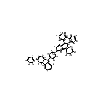 c1ccc(-c2ccc3c(c2)c2ccccc2n3-c2ccc(-c3ccc4c(c3)c3ccccc3c3c5ccccc5c5ccccc5c43)cc2)cc1